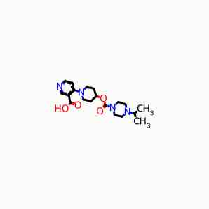 CC(C)N1CCN(C(=O)OC2CCN(c3ccncc3C(=O)O)CC2)CC1